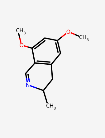 COc1cc2c(c(OC)c1)C=NC(C)C2